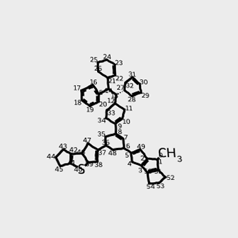 CC1C2=C(CC(C3C=C(C4=CCC(C(C(c5ccccc5)C5C=CCCC5)[C@H]5C=CC=CC5)CC4)CC(C4=CC5SC6=C(CCC6)C5C4)C3)=C2)C2=C1CCC2